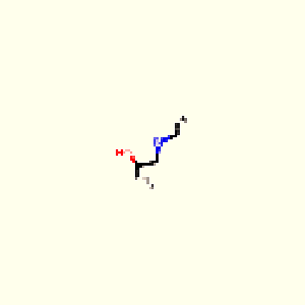 CC(C)CNCC(O)C(Cl)(Cl)Cl